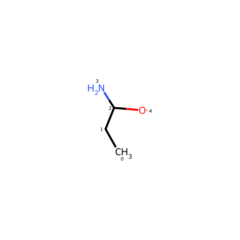 CCC(N)[O]